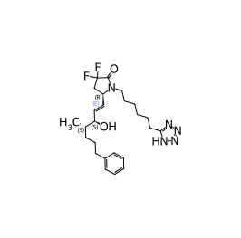 C[C@@H](CCCc1ccccc1)[C@H](O)/C=C/[C@H]1CC(F)(F)C(=O)N1CCCCCCc1nnn[nH]1